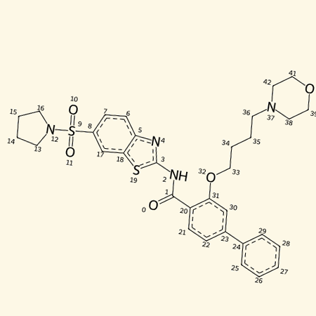 O=C(Nc1nc2ccc(S(=O)(=O)N3CCCC3)cc2s1)c1ccc(-c2ccccc2)cc1OCCCCN1CCOCC1